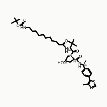 Cc1ncsc1-c1ccc([C@H](C)NC(=O)[C@@H]2C[C@@H](O)CN2C(=O)[C@@H](NC(=O)CCCCCCCCCCNC(=O)OC(C)(C)C)C(C)(C)C)cc1